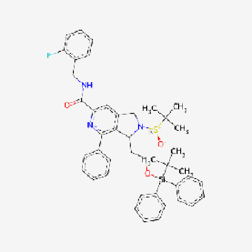 CC(C)(C)[S@@+]([O-])N1Cc2cc(C(=O)NCc3ccccc3F)nc(-c3ccccc3)c2C1CCO[Si](c1ccccc1)(c1ccccc1)C(C)(C)C